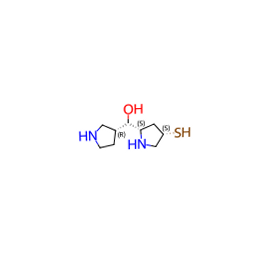 OC([C@@H]1CCNC1)[C@@H]1C[C@H](S)CN1